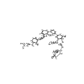 COc1nc(-c2ccnc(-c3cccc(Nc4nccc(CNCC(C)O)c4F)c3Cl)c2Cl)cc(F)c1CNCC1CCC(=O)N1